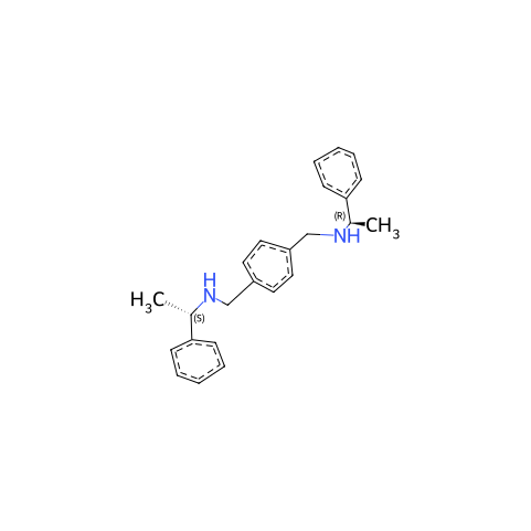 C[C@H](NCc1ccc(CN[C@H](C)c2ccccc2)cc1)c1ccccc1